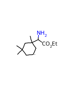 CCOC(=O)C(N)C1(C)C[CH]CC(C)(C)C1